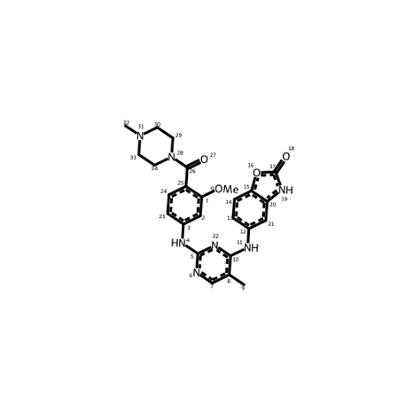 COc1cc(Nc2ncc(C)c(Nc3ccc4oc(=O)[nH]c4c3)n2)ccc1C(=O)N1CCN(C)CC1